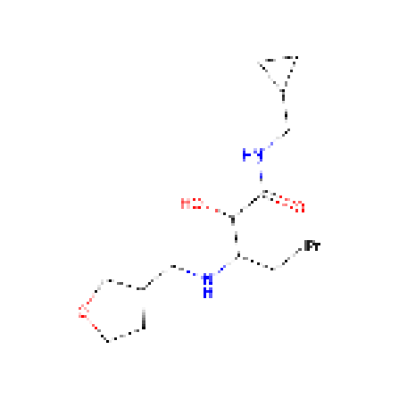 CC(C)CC(NCC1CCOC1)C(O)C(=O)NCC1CC1